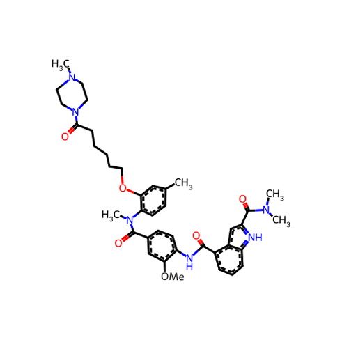 COc1cc(C(=O)N(C)c2ccc(C)cc2OCCCCCC(=O)N2CCN(C)CC2)ccc1NC(=O)c1cccc2[nH]c(C(=O)N(C)C)cc12